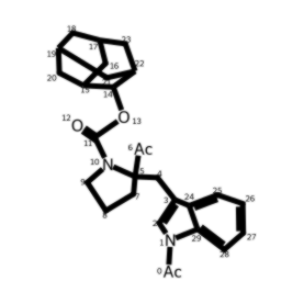 CC(=O)n1cc(CC2(C(C)=O)CCCN2C(=O)OC2C3CC4CC(C3)CC2C4)c2ccccc21